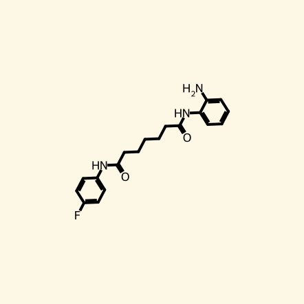 Nc1ccccc1NC(=O)CCCCCC(=O)Nc1ccc(F)cc1